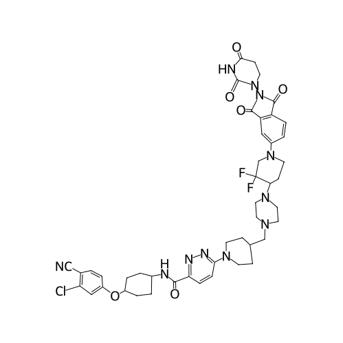 N#Cc1ccc(OC2CCC(NC(=O)c3ccc(N4CCC(CN5CCN(C6CCN(c7ccc8c(c7)C(=O)N(N7CCC(=O)NC7=O)C8=O)CC6(F)F)CC5)CC4)nn3)CC2)cc1Cl